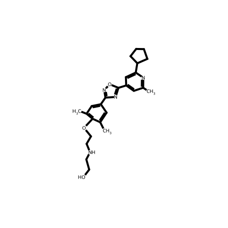 Cc1cc(-c2nc(-c3cc(C)c(OCCNCCO)c(C)c3)no2)cc(C2CCCC2)n1